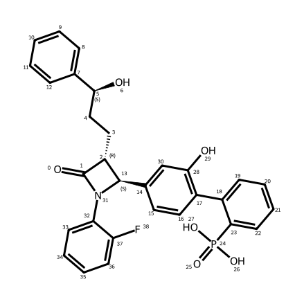 O=C1[C@H](CC[C@H](O)c2ccccc2)[C@@H](c2ccc(-c3ccccc3P(=O)(O)O)c(O)c2)N1c1ccccc1F